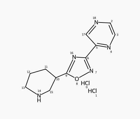 Cl.Cl.c1cnc(-c2noc(C3CCCNC3)n2)cn1